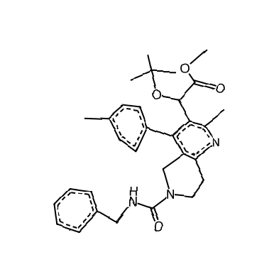 COC(=O)C(OC(C)(C)C)c1c(C)nc2c(c1-c1ccc(C)cc1)CN(C(=O)NCc1ccccc1)CC2